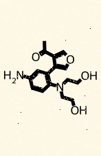 CC(=O)c1cocc1-c1cc(N)ccc1N(CCO)CCO